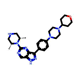 C[C@@H]1CNC[C@H](C)N1c1ncc2[nH]nc(-c3ccc(N4CCN(C5CCOCC5)CC4)cc3)c2n1